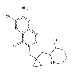 Bc1cc2ncn(CC3(CC4NCCCC4O)CC3)c(=O)c2cc1Cl